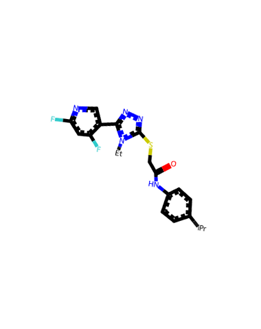 CCn1c(SCC(=O)Nc2ccc(C(C)C)cc2)nnc1-c1cnc(F)cc1F